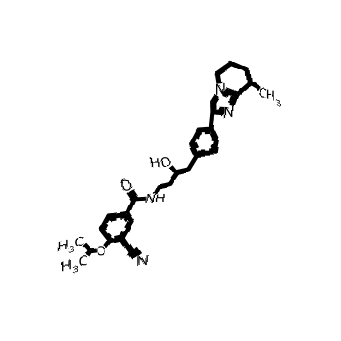 CC(C)Oc1ccc(C(=O)NCCC(O)Cc2ccc(-c3cn4c(n3)C(C)CCC4)cc2)cc1C#N